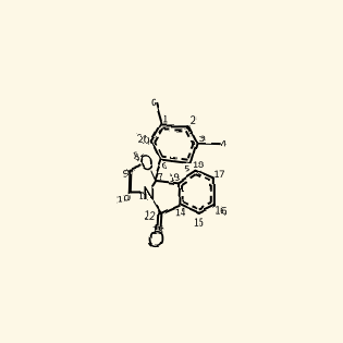 Cc1cc(C)cc(C23OCCN2C(=O)c2ccccc23)c1